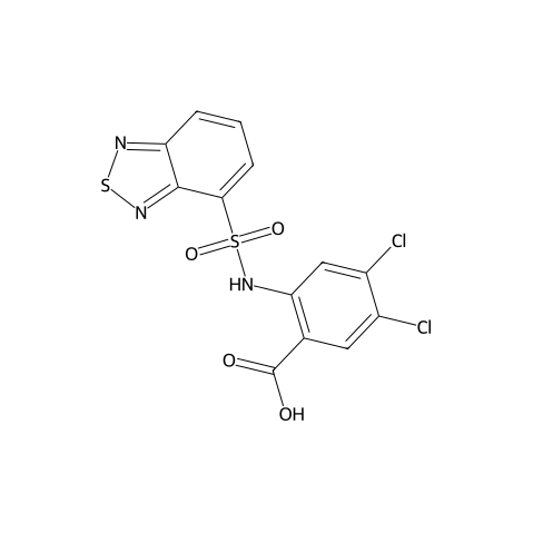 O=C(O)c1cc(Cl)c(Cl)cc1NS(=O)(=O)c1cccc2nsnc12